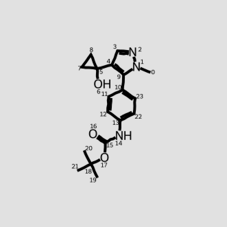 Cn1ncc(C2(O)CC2)c1-c1ccc(NC(=O)OC(C)(C)C)cc1